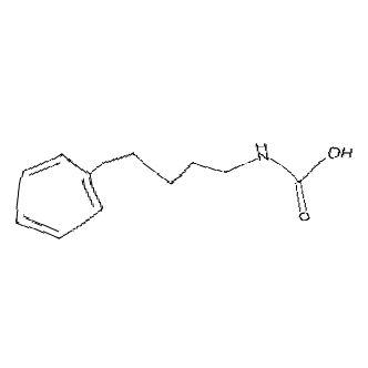 O=C(O)NCCCCc1ccccc1